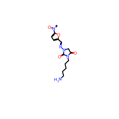 C=[N+]([O-])c1ccc(/C=N/N2CC(=O)N(CCCCCN)C2=O)o1